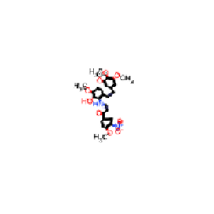 COc1ccc(C(=O)/C=C\Nc2c(/C=C\c3cc(OC)c(OC)c(OC)c3)ccc(OC)c2O)cc1[N+](=O)[O-]